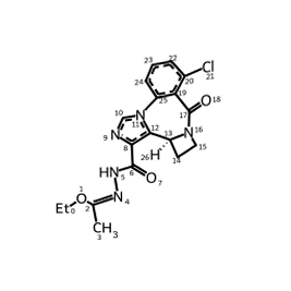 CCO/C(C)=N\NC(=O)c1ncn2c1[C@@H]1CCN1C(=O)c1c(Cl)cccc1-2